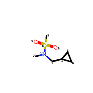 [CH2]N(CC1CC1)S(C)(=O)=O